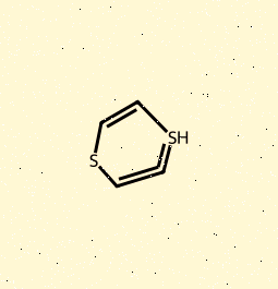 C1=CSC=C[SH]=1